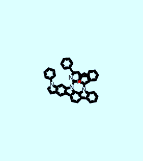 c1ccc(-c2cc(-c3ccccc3)nc(-n3c4cc5c(ccn5-c5ccccc5)cc4c4ccc5c6ccccc6n(-c6ccccc6)c5c43)n2)cc1